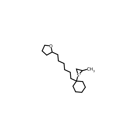 CC1C[S+]1C1(CCCCCCC2CCCO2)CCCCC1